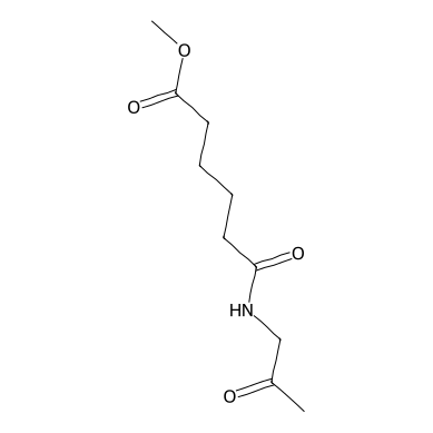 COC(=O)CCCCC(=O)NCC(C)=O